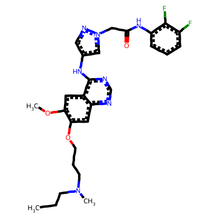 CCCN(C)CCCOc1cc2ncnc(Nc3cnn(CC(=O)Nc4cccc(F)c4F)c3)c2cc1OC